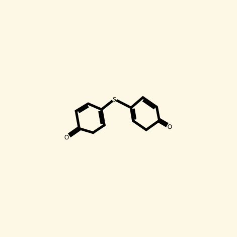 O=C1C=CC(SC2=CCC(=O)C=C2)=CC1